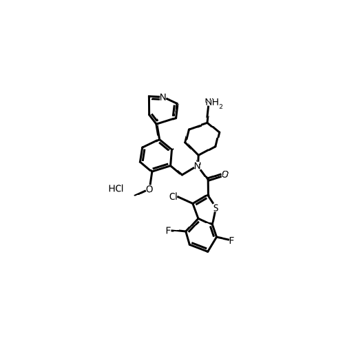 COc1ccc(-c2ccncc2)cc1CN(C(=O)c1sc2c(F)ccc(F)c2c1Cl)C1CCC(N)CC1.Cl